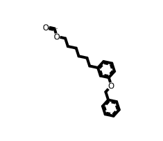 O=[C]OCCCCCCc1cccc(OCc2ccccc2)c1